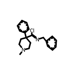 CN1CCC(/C(Cl)=N/Cc2ccccc2)(c2ccccc2)CC1